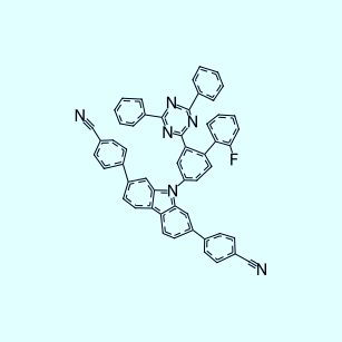 N#Cc1ccc(-c2ccc3c4ccc(-c5ccc(C#N)cc5)cc4n(-c4ccc(-c5ccccc5F)c(-c5nc(-c6ccccc6)nc(-c6ccccc6)n5)c4)c3c2)cc1